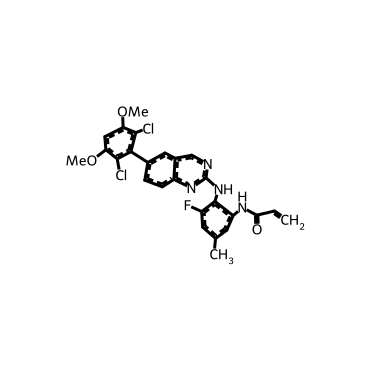 C=CC(=O)Nc1cc(C)cc(F)c1Nc1ncc2cc(-c3c(Cl)c(OC)cc(OC)c3Cl)ccc2n1